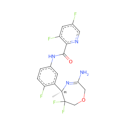 C[C@]1(c2cc(NC(=O)c3ncc(F)cc3F)ccc2F)N=C(N)COCC1(F)F